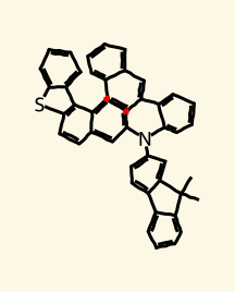 CC1(C)c2ccccc2-c2ccc(N(c3ccc4c(ccc5sc6ccccc6c54)c3)c3ccccc3-c3ccc4ccccc4c3)cc21